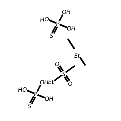 CC.CCC.CCS(C)(=O)=O.OP(O)(O)=S.OP(O)(O)=S